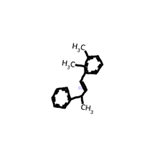 Cc1cccc(/C=C/C(C)c2ccccc2)c1C